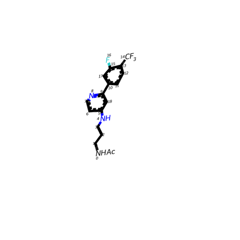 CC(=O)NCCCNc1ccnc(-c2ccc(C(F)(F)F)c(F)c2)c1